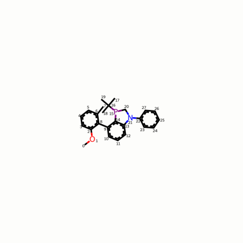 COc1cccc(C)c1-c1cccc2c1P(C(C)(C)C)CN2c1ccccc1